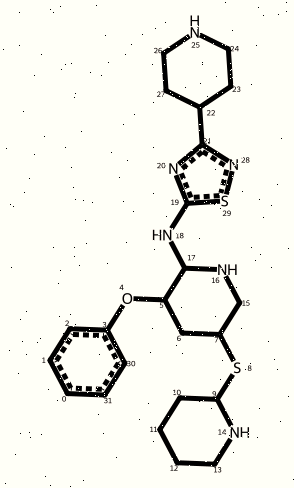 c1ccc(OC2CC(SC3CCCCN3)CNC2Nc2nc(C3CCNCC3)ns2)cc1